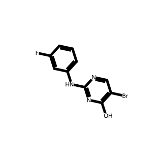 Oc1nc(Nc2cccc(F)c2)ncc1Br